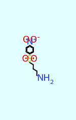 NCCCCCS(=O)(=O)c1ccc([N+](=O)[O-])cc1